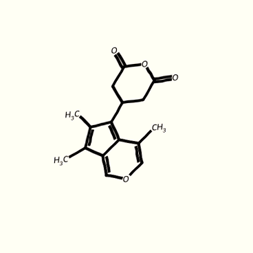 Cc1cocc2c(C)c(C)c(C3CC(=O)OC(=O)C3)c1-2